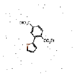 CCOC(=O)c1ccc(C(=O)OCC)c(-c2cccs2)c1